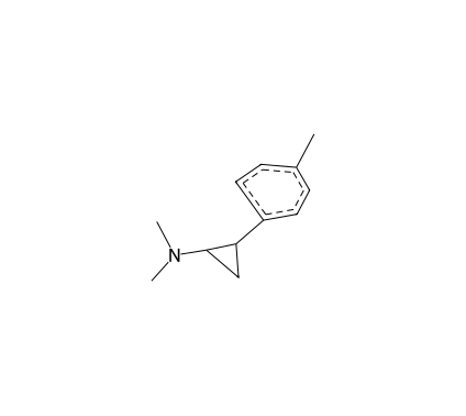 Cc1ccc(C2CC2N(C)C)cc1